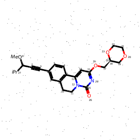 COC(C#Cc1ccc2c(c1)CCn1c-2cc(OC[C@@H]2COCCO2)nc1=O)C(C)C